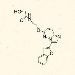 O=C(CO)NCCOc1ccc2ncc(-c3cc4ccccc4o3)n2n1